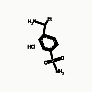 CCC(N)c1ccc(S(N)(=O)=O)cc1.Cl